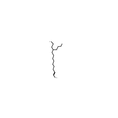 [CH2]C=CCCCCCCCC(CC[CH2])CCCC